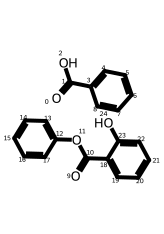 O=C(O)c1ccccc1.O=C(Oc1ccccc1)c1ccccc1O